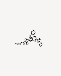 COCCNC(=O)C1(Cl)C=C2N=C(n3ccc(-c4cccc(C)c4)n3)C=C(N3CCOCC3)N2N1